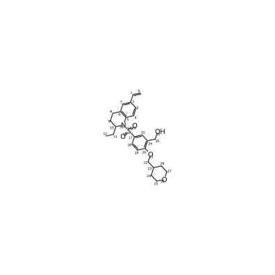 C=Cc1ccc2c(c1)CCC(CC)N2S(=O)(=O)c1ccc(OCC2CCOCC2)c(CO)c1